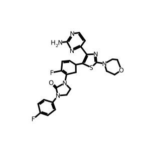 Nc1nccc(-c2nc(N3CCOCC3)sc2C2C=CC(F)=C(N3CCN(c4ccc(F)cc4)C3=O)C2)n1